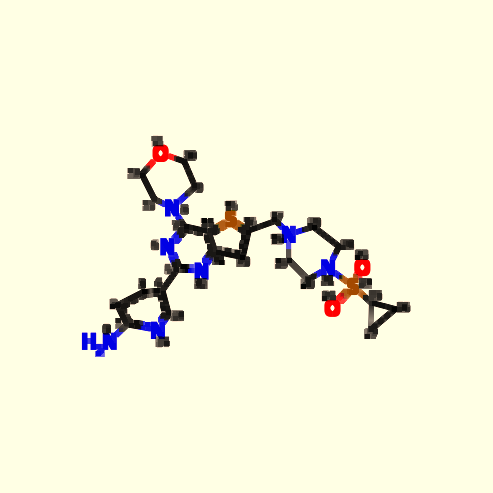 Nc1ccc(-c2nc(N3CCOCC3)c3sc(CN4CCN(S(=O)(=O)C5CC5)CC4)cc3n2)cn1